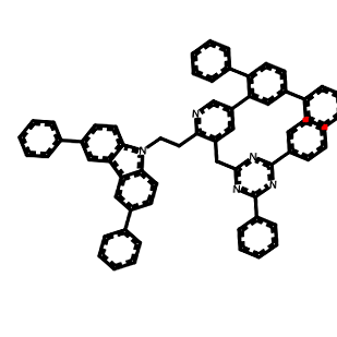 c1ccc(-c2ccc(-c3ccccc3)c(-c3cnc(CCn4c5ccc(-c6ccccc6)cc5c5cc(-c6ccccc6)ccc54)c(Cc4nc(-c5ccccc5)nc(-c5ccccc5)n4)c3)c2)cc1